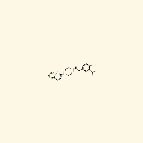 CC(C)c1cc(CC(=O)N2CCN(c3ccc4nncn4n3)CC2)ccc1Cl